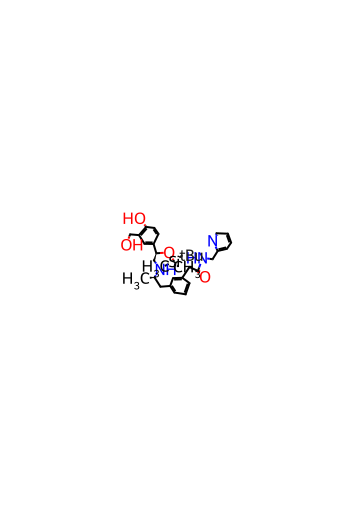 C[C@H](Cc1cccc(CC(=O)NCc2ccccn2)c1)NC[C@H](O[Si](C)(C)C(C)(C)C)c1ccc(O)c(CO)c1